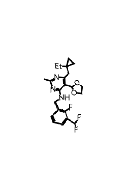 CCC1(Cc2nc(C)nc(NCc3cccc(C(F)F)c3F)c2C2OCCO2)CC1